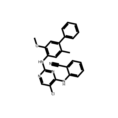 COc1cc(-c2ccccc2)c(C)cc1Nc1ncc(Cl)c(Nc2ccccc2C#N)n1